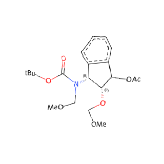 COCO[C@H]1C(OC(C)=O)c2ccccc2[C@H]1N(COC)C(=O)OC(C)(C)C